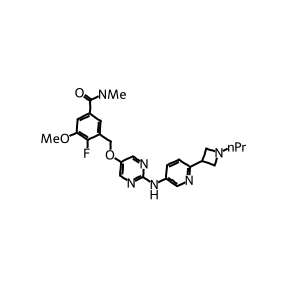 CCCN1CC(c2ccc(Nc3ncc(OCc4cc(C(=O)NC)cc(OC)c4F)cn3)cn2)C1